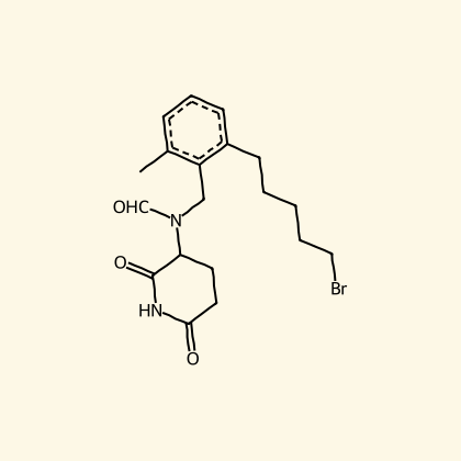 Cc1cccc(CCCCCBr)c1CN(C=O)C1CCC(=O)NC1=O